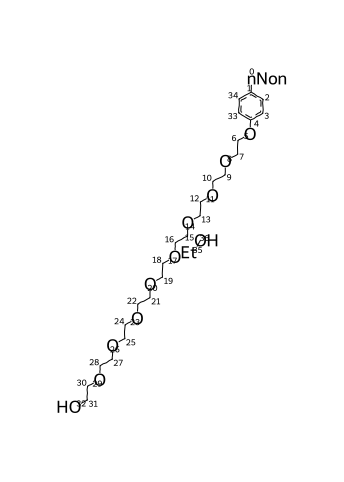 CCCCCCCCCc1ccc(OCCOCCOCCOCCOCCOCCOCCOCCOCCO)cc1.CCO